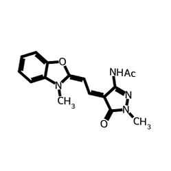 CC(=O)NC1=NN(C)C(=O)/C1=C/C=C1/Oc2ccccc2N1C